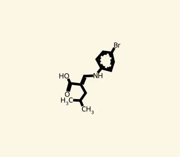 CC(C)C/C(=C\Nc1ccc(Br)cc1)C(=O)O